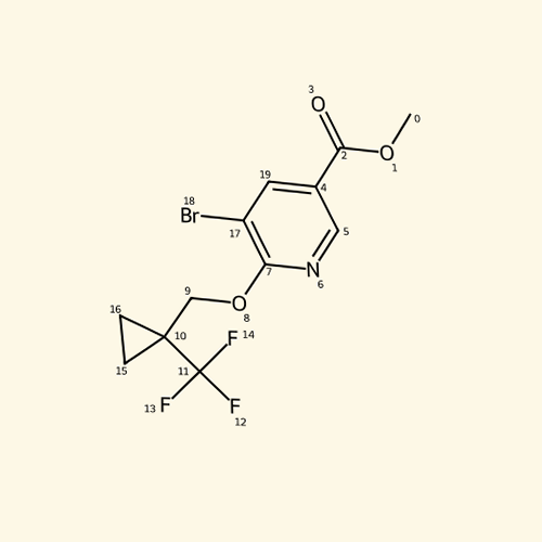 COC(=O)c1cnc(OCC2(C(F)(F)F)CC2)c(Br)c1